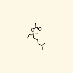 CC[C@](C)(CCCC(C)C)OC(C)=O